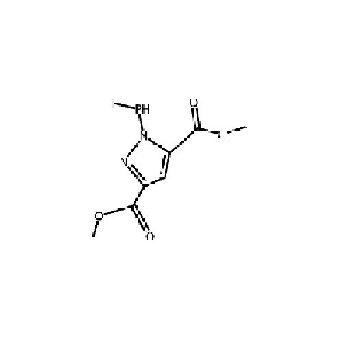 COC(=O)c1cc(C(=O)OC)n(PI)n1